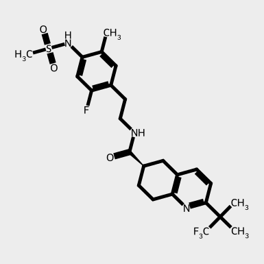 Cc1cc(CCNC(=O)[C@@H]2CCc3nc(C(C)(C)C(F)(F)F)ccc3C2)c(F)cc1NS(C)(=O)=O